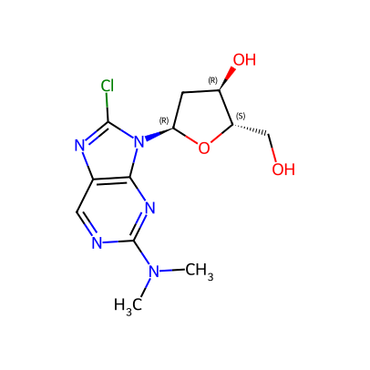 CN(C)c1ncc2nc(Cl)n([C@H]3C[C@@H](O)[C@H](CO)O3)c2n1